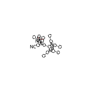 N#Cc1ccc(-n2c3ccc(-c4cc5c6c(c4)N(c4ccc(-c7ccccc7)cc4)c4ccc(-c7ccccc7)cc4B6c4cc(-c6ccccc6)ccc4N5c4ccc(-c5ccccc5)cc4)cc3c3ccc(-c4ccccc4)cc32)c(-c2nc(-c3ccccc3)nc(-c3ccccc3)n2)c1